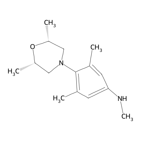 CNc1cc(C)c(N2C[C@@H](C)O[C@@H](C)C2)c(C)c1